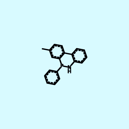 Cc1ccc2c(c1)P(c1ccccc1)Nc1ccccc1-2